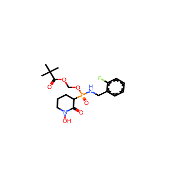 CC(C)(C)C(=O)OCOP(=O)(NCc1ccccc1F)C1CCCN(O)C1=O